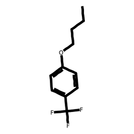 CCCCOc1ccc(C(F)(F)F)cc1